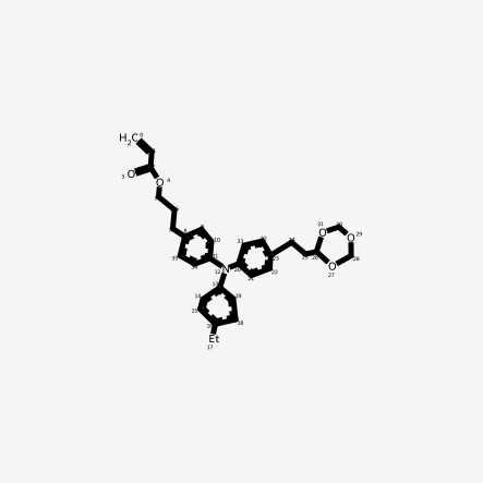 C=CC(=O)OCCCc1ccc(N(c2ccc(CC)cc2)c2ccc(CCC3OCOCO3)cc2)cc1